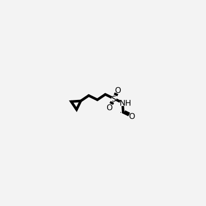 O=[C]NS(=O)(=O)CCCC1CC1